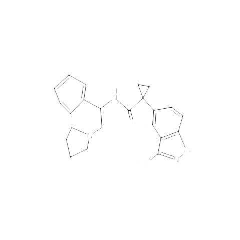 Cc1noc2ccc(C3(C(=O)NC(CN4CCCC4)c4ccccc4)CC3)cc12